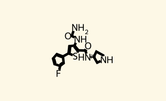 NC(=O)Nc1cc(-c2cccc(F)c2)sc1C(=O)N[C@H]1CCNC1